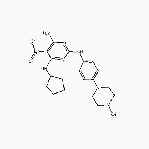 Cc1nc(Nc2ccc(N3CCN(C)CC3)cc2)nc(NC2CCCC2)c1[N+](=O)[O-]